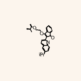 C=C(C)C(=C)OCCOC1=C(c2ccc3cc(C(C)C)ccc3n2)C(=O)c2ccccc21